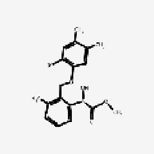 COC(=O)N(O)c1cccc(C)c1COc1cc(C)c(C)cc1Br